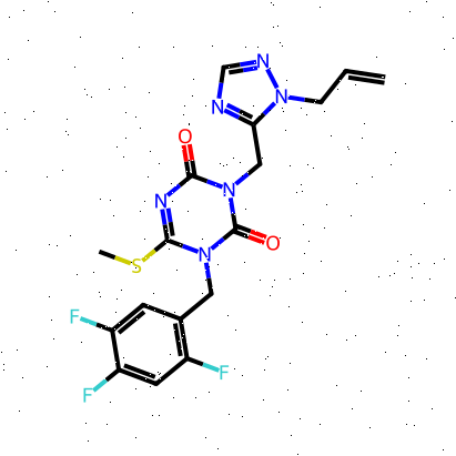 C=CCn1ncnc1Cn1c(=O)nc(SC)n(Cc2cc(F)c(F)cc2F)c1=O